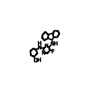 Oc1cccc(Nc2ncc(F)c(NC3c4ccccc4-c4ccccc43)n2)c1